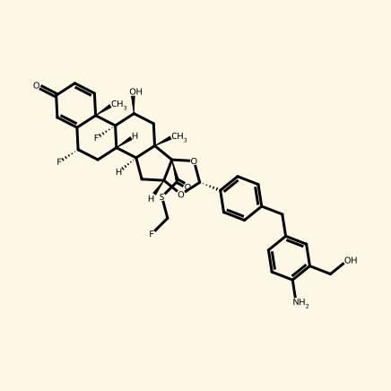 C[C@]12C=CC(=O)C=C1[C@@H](F)C[C@H]1[C@@H]3C[C@H]4O[C@@H](c5ccc(Cc6ccc(N)c(CO)c6)cc5)O[C@@]4(C(=O)SCF)[C@@]3(C)C[C@H](O)[C@@]12F